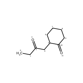 CCC(=O)CC1CCCCC1=O